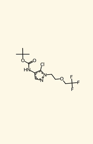 CC(C)(C)OC(=O)Nc1cnn(CCOCC(F)(F)F)c1Cl